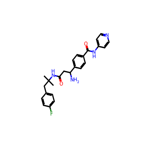 CC(C)(Cc1ccc(F)cc1)NC(=O)CC(N)c1ccc(C(=O)Nc2ccncc2)cc1